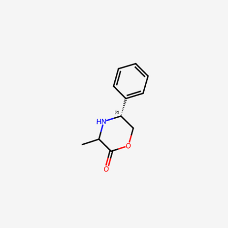 CC1N[C@H](c2ccccc2)COC1=O